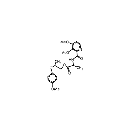 COc1ccc(O[C@@H](C)COC(=O)[C@H](C)NC(=O)c2nccc(OC)c2OC(C)=O)cc1